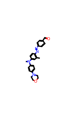 Cc1cc(N(C)c2ccc(N3CCOCC3)cc2)ccc1/N=N/c1ccc(C=O)cc1